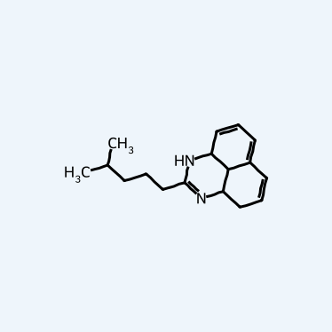 CC(C)CCCC1=NC2CC=CC3=CC=CC(N1)C32